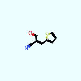 N#CC([C]=O)=Cc1cccs1